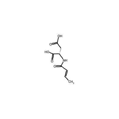 CC=CC(=O)N[C@@H](CC(=O)O)C(=O)O